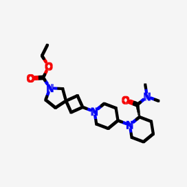 CCOC(=O)N1CCC2(CC(N3CCC(N4CCCC[C@@H]4C(=O)N(C)C)CC3)C2)C1